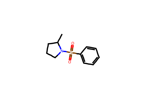 CC1CCCN1S(=O)(=O)c1ccccc1